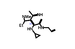 C=CCNC(=C)/C(NC1CC1)=C(\C(C)=N)C(CC)NC